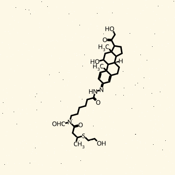 CC(CC(=O)N(C=O)CCCCCC(=O)NN=C1C=CC2(C)C(=C1)CC[C@@H]1C2C(O)CC2(C)C(C(=O)CO)CCC12)SCCO